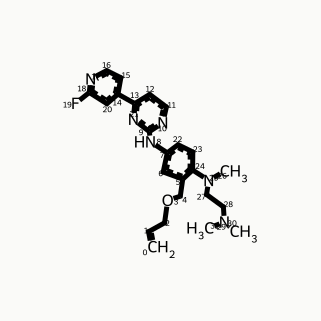 C=CCOCc1cc(Nc2nccc(-c3ccnc(F)c3)n2)ccc1N(C)CCN(C)C